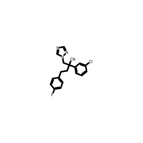 N#CC(CCc1ccc(F)cc1)(Cn1cncn1)c1cccc(Cl)c1